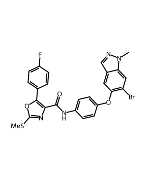 CSc1nc(C(=O)Nc2ccc(Oc3cc4cnn(C)c4cc3Br)cc2)c(-c2ccc(F)cc2)o1